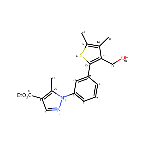 CCOC(=O)c1cnn(-c2cccc(-c3sc(C)c(C)c3CO)c2)c1C